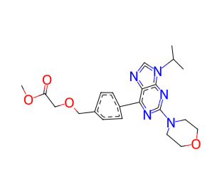 COC(=O)COCc1ccc(-c2nc(N3CCOCC3)nc3c2ncn3C(C)C)cc1